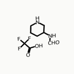 O=C(O)C(F)(F)F.O=CNC1CCCNC1